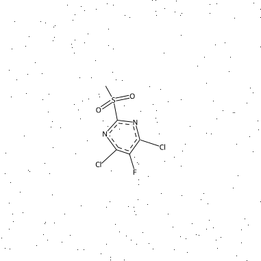 CS(=O)(=O)c1nc(Cl)c(F)c(Cl)n1